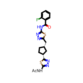 CC(=O)Nc1nnc([C@@H]2CC[C@H](Cc3nnc(NC(=O)c4ccccc4F)s3)C2)s1